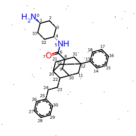 N[C@H]1CC[C@H](NC(=O)C23CC4CC(c5ccccc5)(CC(C2)C4CCc2ccccc2)C3)CC1